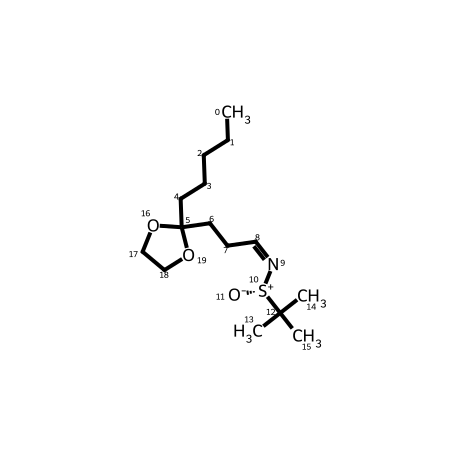 CCCCCC1(CC/C=N\[S@@+]([O-])C(C)(C)C)OCCO1